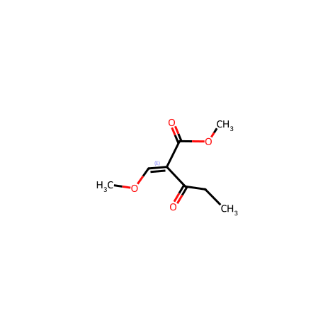 CCC(=O)/C(=C\OC)C(=O)OC